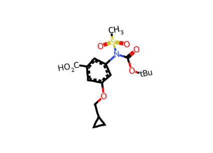 CC(C)(C)OC(=O)N(c1cc(OCC2CC2)cc(C(=O)O)c1)S(C)(=O)=O